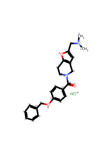 CN(C)Cc1cc2c(o1)CCN(C(=O)c1ccc(OCc3ccccc3)cc1)C2.Cl